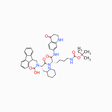 CC(C)(C)OC(=O)NCCCC[C@H](NC(=O)[C@H](CC1CCCCC1)N(CC1c2ccccc2-c2ccccc21)C(=O)O)C(=O)Nc1ccc2c(c1)NCCC2=O